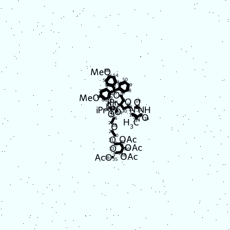 COc1ccc(C(OCC2OC(n3cc(C)c(=O)[nH]c3=O)CC2OP(=O)(OCCOCCO[C@H]2O[C@@H](COC(C)=O)[C@H](OC(C)=O)[C@@H](OC(C)=O)[C@@H]2OC(C)=O)N(C(C)C)C(C)C)(c2ccccc2)c2ccc(OC)cc2)cc1